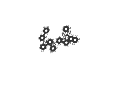 c1ccc(-c2cccc(-n3c4ccccc4c4c5c6ccccc6n(-c6ccc7c(c6)c6ccccc6n7-c6nc7ccccc7nc6-c6ccc7ccccc7c6)c5ccc43)c2)cc1